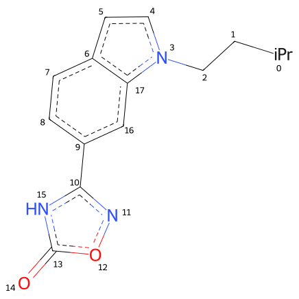 CC(C)CCn1ccc2ccc(-c3noc(=O)[nH]3)cc21